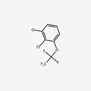 [O]c1cccc(OC(F)(F)C(F)(F)F)c1Cl